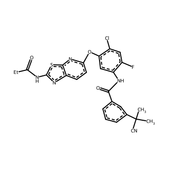 CCC(=O)Nc1nc2ccc(Oc3cc(NC(=O)c4cccc(C(C)(C)C#N)c4)c(F)cc3Cl)nc2s1